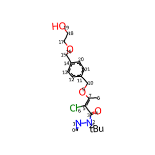 C=NN(C(=O)/C(Cl)=C(\C)OCc1ccc(COCCO)cc1)C(C)(C)C